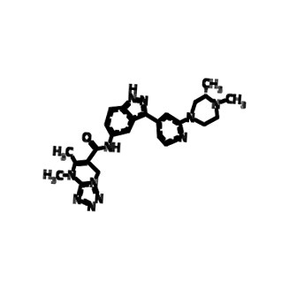 CC1=C(C(=O)Nc2ccc3[nH]nc(-c4ccnc(N5CCN(C)[C@@H](C)C5)c4)c3c2)Cn2nnnc2N1C